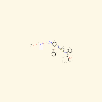 CCC(C)(C)C(=O)OCCNC(=O)OCCN(C)c1ccc(/C=C/c2ccc(/C=C/C3=C(C#N)C(=C(C#N)C#N)OC3(C)c3ccccc3)s2)c(OCc2ccccc2)c1